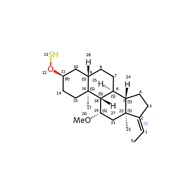 C/C=C1/CC[C@H]2[C@@H]3CC[C@H]4C[C@H](OS)CC[C@]4(C)[C@H]3[C@@H](OC)C[C@]12C